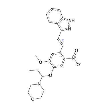 CCC(Oc1cc([N+](=O)[O-])c(/C=C/c2n[nH]c3ccccc23)cc1OC)N1CCOCC1